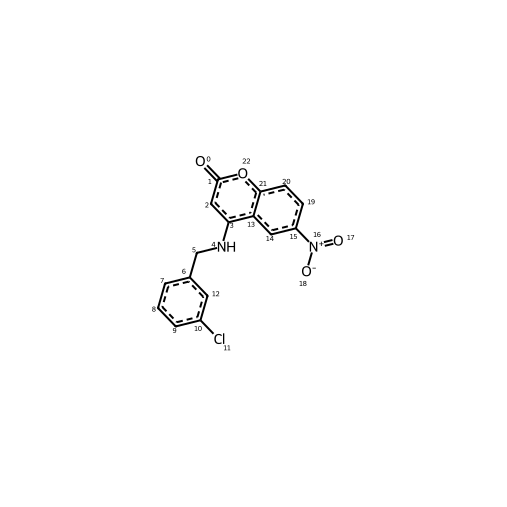 O=c1cc(NCc2cccc(Cl)c2)c2cc([N+](=O)[O-])ccc2o1